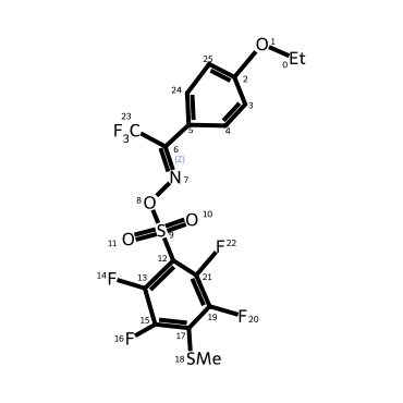 CCOc1ccc(/C(=N/OS(=O)(=O)c2c(F)c(F)c(SC)c(F)c2F)C(F)(F)F)cc1